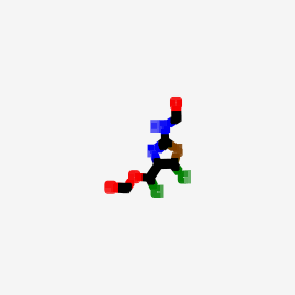 O=CNc1nc(C(Cl)OC=O)c(Cl)s1